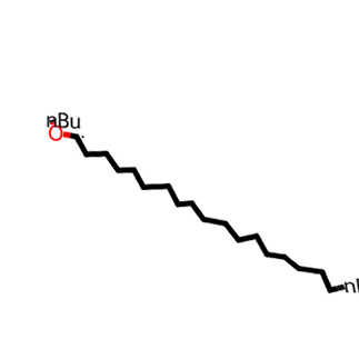 CCCCCCCCCCCCCCCCCCCCCCCCCCC[CH]OCCCC